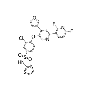 O=S(=O)(Nc1nccs1)c1ccc(Oc2cnc(-c3ccc(F)nc3F)cc2-c2ccoc2)c(Cl)c1